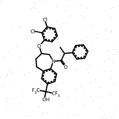 CC(C(=O)N1CC(Oc2cccc(Cl)c2Cl)CCc2cc(C(O)(C(F)(F)F)C(F)(F)F)ccc21)c1ccccc1